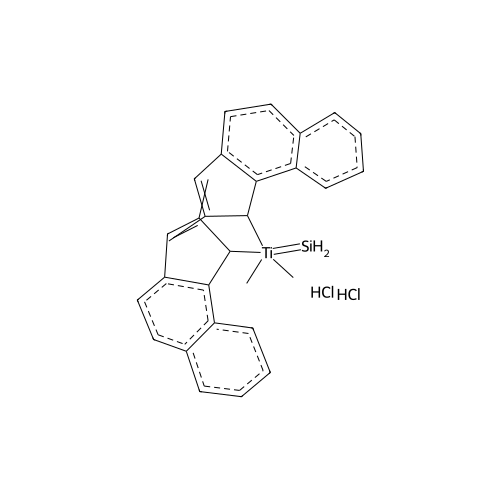 CC1=Cc2ccc3ccccc3c2[CH]1[Ti]([CH3])([CH3])(=[SiH2])[CH]1C(C)=Cc2ccc3ccccc3c21.Cl.Cl